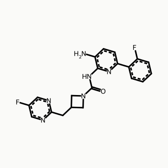 Nc1ccc(-c2ccccc2F)nc1NC(=O)N1CC(Cc2ncc(F)cn2)C1